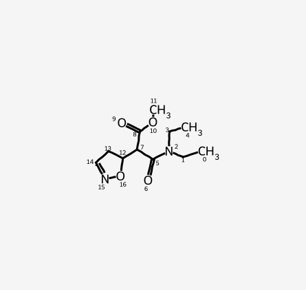 CCN(CC)C(=O)C(C(=O)OC)C1C[C]=NO1